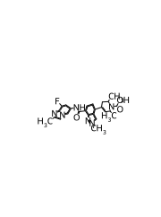 Cc1cn2cc(NC(=O)c3ccc(C4=CC(C)N(C(=O)O)C(C)C4)c4cn(C)nc34)cc(F)c2n1